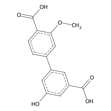 COc1cc(-c2cc(O)cc(C(=O)O)c2)ccc1C(=O)O